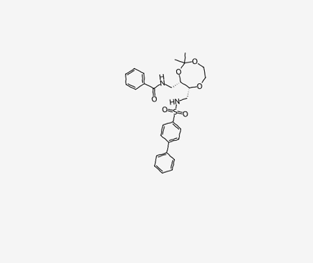 CC1(C)OCCO[C@H](CNS(=O)(=O)c2ccc(-c3ccccc3)cc2)[C@H](CNC(=O)c2ccccc2)O1